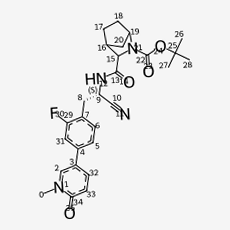 Cn1cc(-c2ccc(C[C@@H](C#N)NC(=O)C3C4CCC(C4)N3C(=O)OC(C)(C)C)c(F)c2)ccc1=O